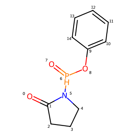 O=C1CCCN1[PH](=O)Oc1ccccc1